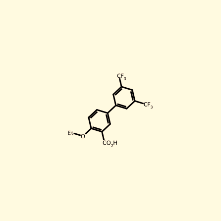 CCOc1ccc(-c2cc(C(F)(F)F)cc(C(F)(F)F)c2)cc1C(=O)O